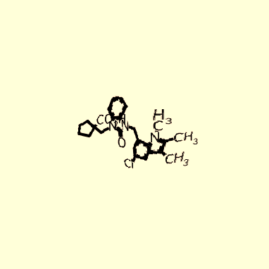 Cc1c(C)n(C)c2c(Cn3c(=O)n(CC4(C(=O)O)CCCC4)c4ccccc43)cc(Cl)cc12